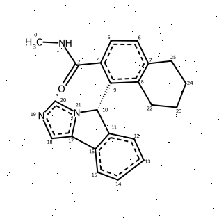 CNC(=O)c1ccc2c(c1[C@@H]1c3ccccc3-c3cncn31)CCCC2